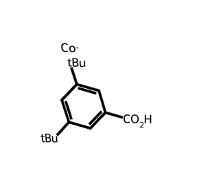 CC(C)(C)c1cc(C(=O)O)cc(C(C)(C)C)c1.[Co]